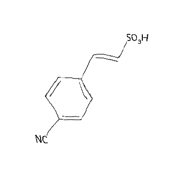 N#Cc1ccc(C=CS(=O)(=O)O)cc1